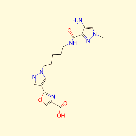 Cn1cc(N)c(C(=O)NCCCCCn2cc(-c3nc(C(=O)O)co3)cn2)n1